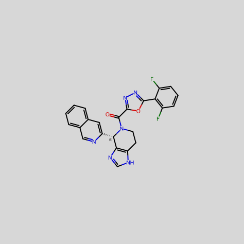 O=C(c1nnc(-c2c(F)cccc2F)o1)N1CCc2[nH]cnc2[C@@H]1c1cc2ccccc2cn1